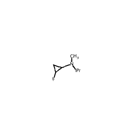 CC(C)N(C)C1CC1F